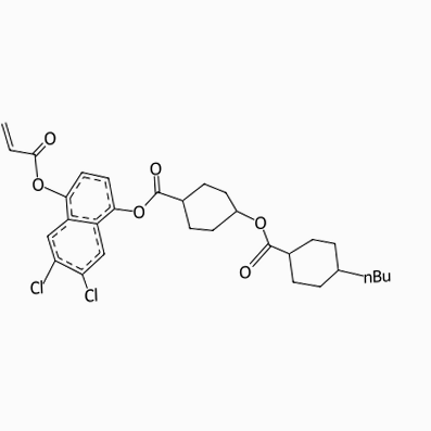 C=CC(=O)Oc1ccc(OC(=O)C2CCC(OC(=O)C3CCC(CCCC)CC3)CC2)c2cc(Cl)c(Cl)cc12